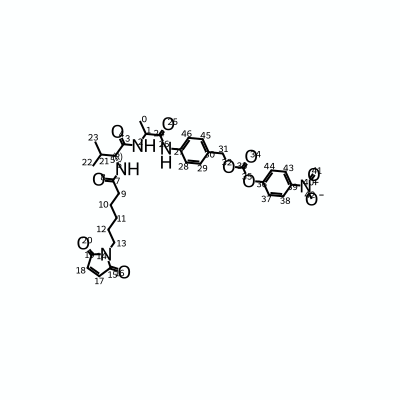 CC(NC(=O)[C@H](NC(=O)CCCCCN1C(=O)C=CC1=O)C(C)C)C(=O)Nc1ccc(COC(=O)Oc2ccc([N+](=O)[O-])cc2)cc1